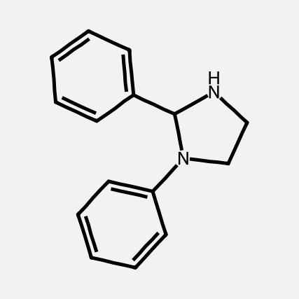 c1ccc(C2NCCN2c2ccccc2)cc1